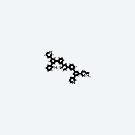 C=C/C=C\C(=C/N)c1cc(-c2cccnc2)cc(-c2cccc(/C(C=C)=C/C(CN)c3cccc(-c4cc(C5=CN=CCC5)cc(-c5ccccc5)c4)c3)c2)c1